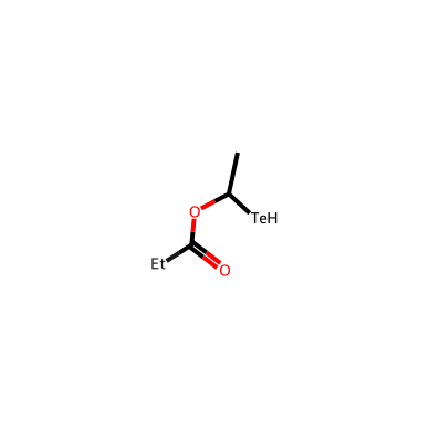 CCC(=O)OC(C)[TeH]